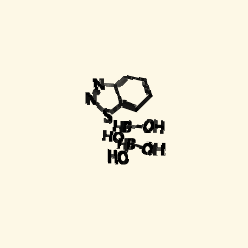 OBO.OBO.c1ccc2snnc2c1